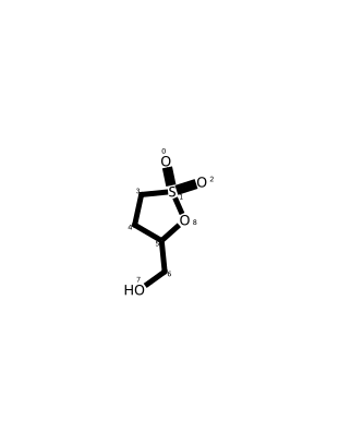 O=S1(=O)CCC(CO)O1